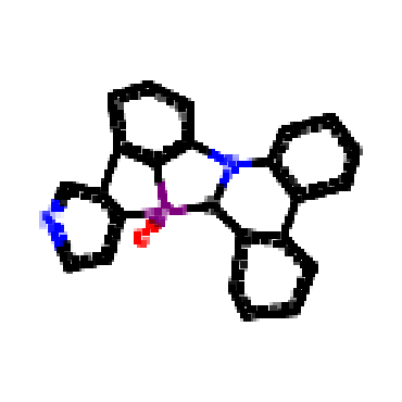 O=P12B3c4ccccc4-c4ccccc4N3c3cccc(c31)-c1cnccc12